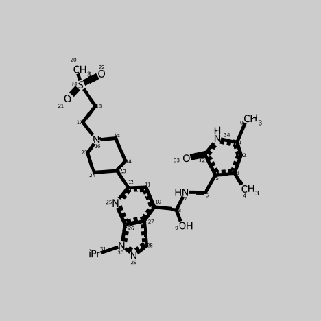 Cc1cc(C)c(CNC(O)c2cc(C3CCN(CCS(C)(=O)=O)CC3)nc3c2cnn3C(C)C)c(=O)[nH]1